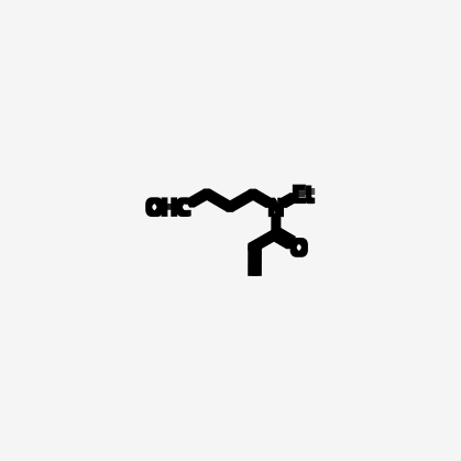 C=CC(=O)N(CC)CCCC=O